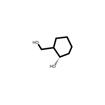 OCC1CCCC[C@@H]1O